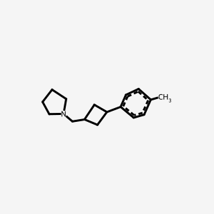 Cc1ccc(C2CC(CN3CCCC3)C2)cc1